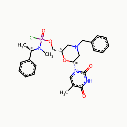 Cc1cn([C@H]2CN(Cc3ccccc3)C[C@@H](COP(=O)(Cl)N(C)[C@H](C)c3ccccc3)O2)c(=O)[nH]c1=O